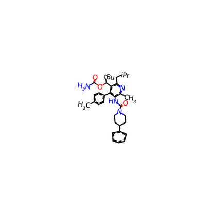 Cc1ccc(-c2c(NC(=O)N3CCC(c4ccccc4)CC3)c(C)nc(CC(C)C)c2C(OC(N)=O)C(C)(C)C)cc1